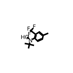 Cc1ccc(N(O)C(C)(C)C)c(C(F)(F)F)c1